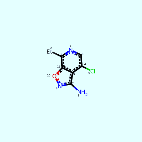 CCc1ncc(Cl)c2c(N)noc12